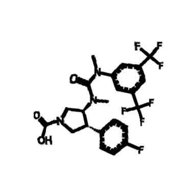 CN(C(=O)N(C)[C@@H]1CN(C(=O)O)C[C@H]1c1ccc(F)cc1)c1cc(C(F)(F)F)cc(C(F)(F)F)c1